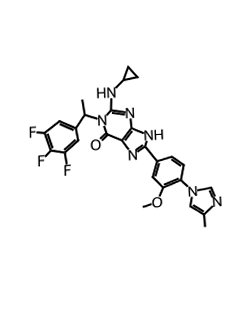 COc1cc(-c2nc3c(=O)n(C(C)c4cc(F)c(F)c(F)c4)c(NC4CC4)nc3[nH]2)ccc1-n1cnc(C)c1